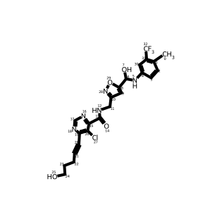 Cc1ccc(NC(O)c2cc(CNC(=O)c3ncnc(C#CCCCO)c3Cl)no2)cc1C(F)(F)F